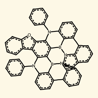 c1ccc(N2c3cccc4c3B(c3c5c(c6c(oc7ccccc76)c32)N(c2ccccc2)c2cccc3c2B5n2ccc5cccc-3c52)n2ccc3cccc-4c32)cc1